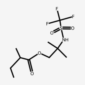 CCC(C)C(=O)OCC(C)(C)NS(=O)(=O)C(F)(F)F